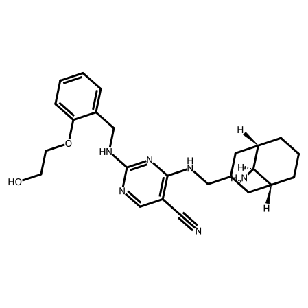 N#Cc1cnc(NCc2ccccc2OCCO)nc1NCC1C[C@H]2CCC[C@@H](C1)[C@@H]2N